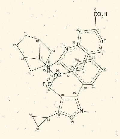 O=C(O)c1ccc2ccc(NC3C4CCC3CC(OCc3c(-c5ccccc5OC(F)(F)F)noc3C3CC3)C4)nc2c1